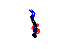 Cc1cc(C(=O)C(=O)N2CCN(C(=O)c3ccccc3)C[C@H]2C)ccc1-c1cc[nH]n1